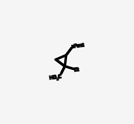 CCCCCC1CC1(CC)C(=O)O